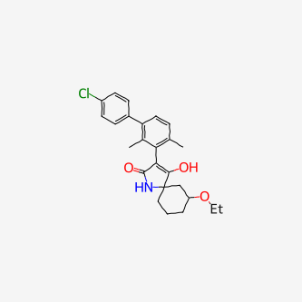 CCOC1CCCC2(C1)NC(=O)C(c1c(C)ccc(-c3ccc(Cl)cc3)c1C)=C2O